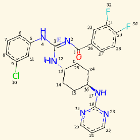 O=C(/N=C(/Nc1cccc(Cl)c1)N[C@H]1CC[C@H](Nc2ncccn2)CC1)c1ccc(F)c(F)c1